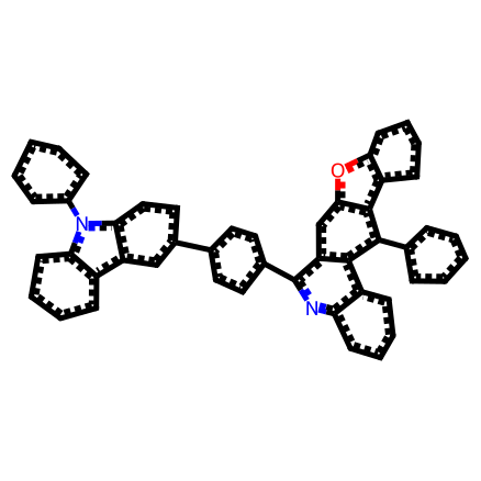 c1ccc(-c2c3c(cc4c(-c5ccc(-c6ccc7c(c6)c6ccccc6n7-c6ccccc6)cc5)nc5ccccc5c24)oc2ccccc23)cc1